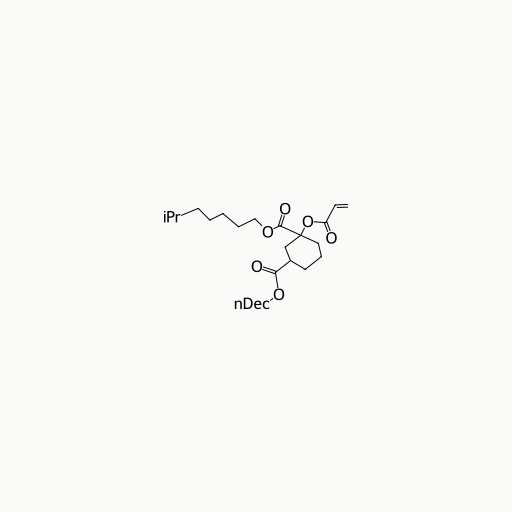 C=CC(=O)OC1(C(=O)OCCCCCC(C)C)CCCC(C(=O)OCCCCCCCCCC)C1